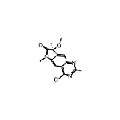 CO[C@]1(C)C(=O)N(C)c2cc3c(Cl)nc(C)nc3cc21